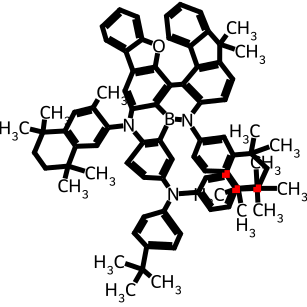 Cc1cc2c(cc1N1c3ccc(N(c4ccc(C(C)(C)C)cc4)c4ccc(C(C)(C)C)cc4)cc3B3c4c1cc1c(oc5ccccc51)c4-c1c(ccc4c1-c1ccccc1C4(C)C)N3c1ccc3c(c1)C(C)(C)CCC3(C)C)C(C)(C)CCC2(C)C